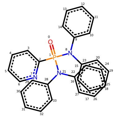 O=P(c1ccccn1)(N(c1ccccc1)c1ccccc1)N(c1ccccc1)c1ccccc1